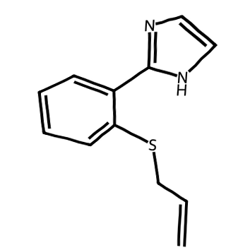 C=CCSc1ccccc1-c1ncc[nH]1